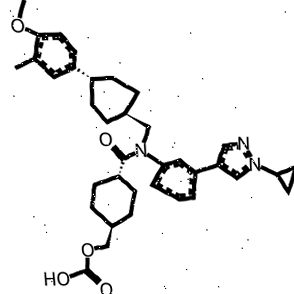 COc1ccc([C@H]2CC[C@H](CN(c3cccc(-c4cnn(C5CC5)c4)c3)C(=O)[C@H]3CC[C@H](COC(=O)O)CC3)CC2)cc1C